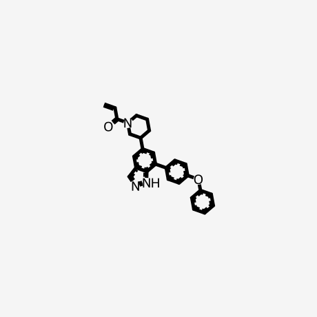 C=CC(=O)N1CCCC(c2cc(-c3ccc(Oc4ccccc4)cc3)c3[nH]ncc3c2)C1